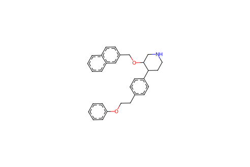 c1ccc(OCCc2ccc(C3CCNCC3OCc3ccc4ccccc4c3)cc2)cc1